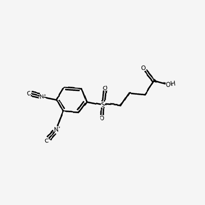 [C-]#[N+]c1ccc(S(=O)(=O)CCCC(=O)O)cc1[N+]#[C-]